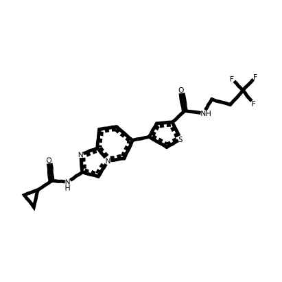 O=C(NCCC(F)(F)F)c1cc(-c2ccc3nc(NC(=O)C4CC4)cn3c2)cs1